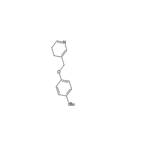 CC(C)(C)c1ccc(OCC2=CN=CCC2)cc1